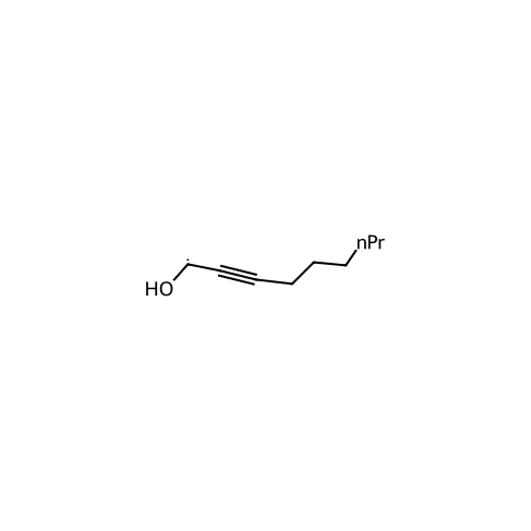 CCCCCCC#C[CH]O